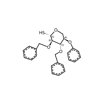 S[C@@H]1OC[C@@H](Oc2ccccc2)[C@H](OCc2ccccc2)[C@H]1OCc1ccccc1